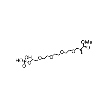 C=C(COCCOCCOCCOCCOP(=O)(O)O)C(=O)OC